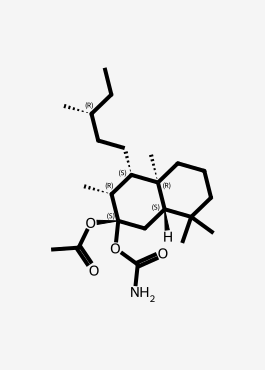 CC[C@@H](C)CC[C@H]1[C@@H](C)[C@@](OC(C)=O)(OC(N)=O)C[C@H]2C(C)(C)CCC[C@]12C